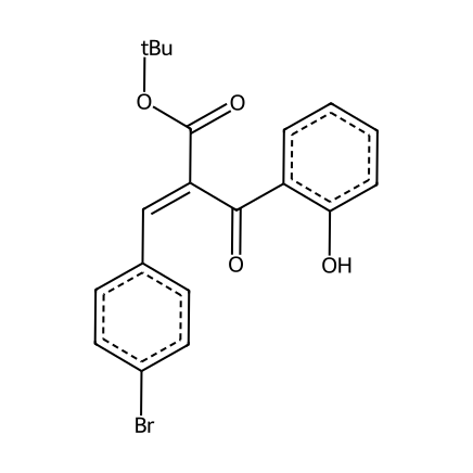 CC(C)(C)OC(=O)C(=Cc1ccc(Br)cc1)C(=O)c1ccccc1O